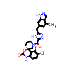 Cc1cc(Cc2nnc(C(=O)N3CCC[C@@]4(C3)OC(=O)Nc3ccc(Cl)c(F)c34)[nH]2)cc2[nH]ncc12